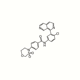 O=C(Nc1ccc(Cl)c(-c2nccc3ccncc23)c1)c1ccc(N2CCOCS2(=O)=O)cc1